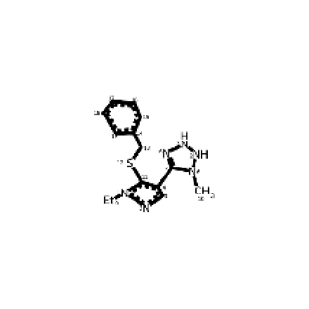 CCn1ncc(C2=NNNN2C)c1SCc1ccccc1